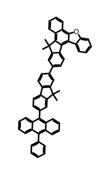 CC1(C)c2cc(-c3ccc4c(c3)C(C)(C)c3c-4c4c5ccccc5oc4c4ccccc34)ccc2-c2ccc(-c3c4ccccc4c(-c4ccccc4)c4ccccc34)cc21